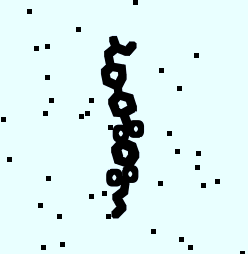 CCCCC(=O)Oc1ccc(OC(=O)C2CCC(C3CCC(CC(C)CC)CC3)CC2)cc1